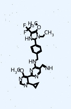 CCN1C(OC)=C(C(F)(F)F)NC1c1ccc(CNc2nc(-c3c(OC)ncnc3C3CC3)ncc2C=N)cc1